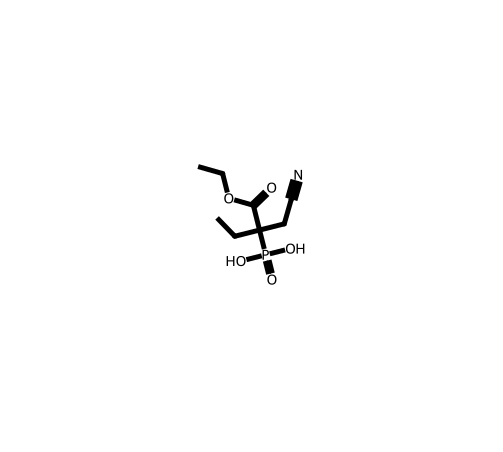 CCOC(=O)C(CC)(CC#N)P(=O)(O)O